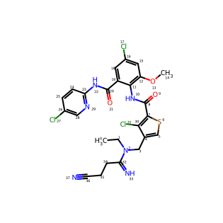 CCN(Cc1csc(C(=O)Nc2c(OC)cc(Cl)cc2C(=O)Nc2ccc(Cl)cn2)c1Cl)C(=N)CCC#N